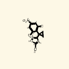 O=[N+]([O-])c1cc(Cl)c(C2(c3noc(Cl)n3)CC2)c(Cl)c1